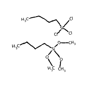 CCCC[Si](Cl)(Cl)Cl.CCCC[Si](OC)(OC)OC